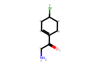 NCC(=O)C1=CCC(Br)CC1